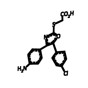 Nc1ccc(-c2nc(SCC(=O)O)oc2-c2ccc(Cl)cc2)cc1